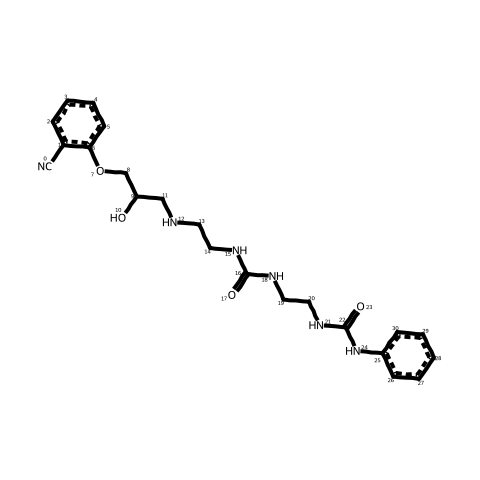 N#Cc1ccccc1OCC(O)CNCCNC(=O)NCCNC(=O)Nc1ccccc1